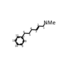 CNCC=CCCCc1ccccc1